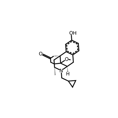 COC12[C@H](C)CC(=O)C[C@@]13CCN(CC1CC1)[C@@H]2Cc1ccc(O)cc13